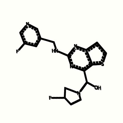 OC(c1nc(NCc2cncc(F)c2)nc2ccsc12)N1CCC(F)C1